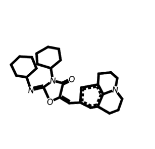 O=C1/C(=C\c2cc3c4c(c2)CCCN4CCC3)O/C(=N/C2CCCCC2)N1C1CCCCC1